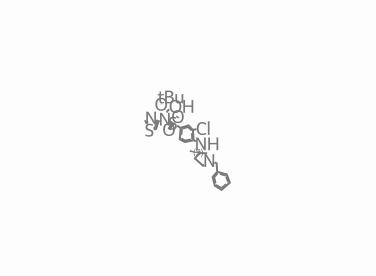 CC(C)(C)OC(O)N(c1cscn1)S(=O)(=O)c1ccc(N[C@@]2(C)CCN(Cc3ccccc3)C2)c(Cl)c1